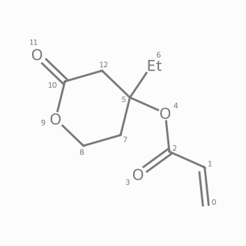 C=CC(=O)OC1(CC)CCOC(=O)C1